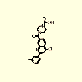 Cc1cc(-c2cc(Cl)c3ccc(C(=O)N4CCN(C(=O)O)CC4)cc3n2)ccn1